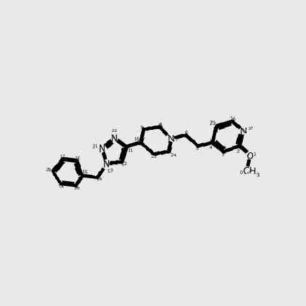 COc1cc(CCN2CCC(c3cn(Cc4ccccc4)nn3)CC2)ccn1